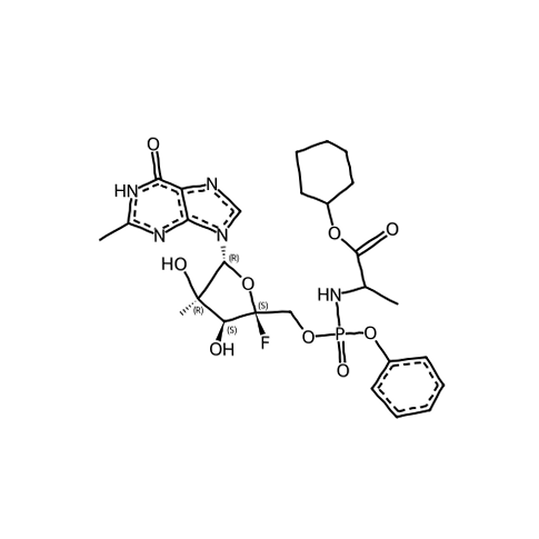 Cc1nc2c(ncn2[C@@H]2O[C@](F)(COP(=O)(NC(C)C(=O)OC3CCCCC3)Oc3ccccc3)[C@@H](O)[C@@]2(C)O)c(=O)[nH]1